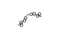 C=CC(=O)OCCOc1ccc(CC(C)(C)c2ccc(OCCOC(=O)C=C)cc2)cc1